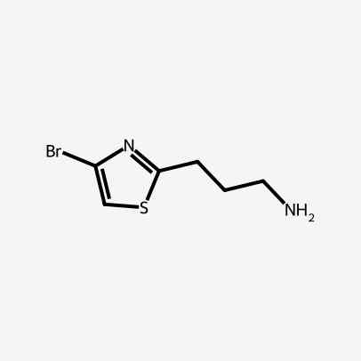 NCCCc1nc(Br)cs1